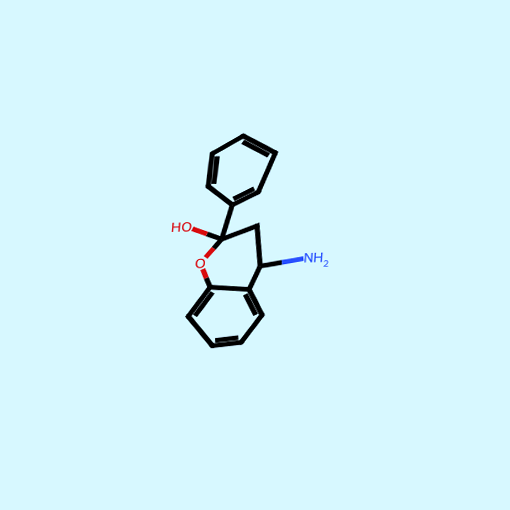 NC1CC(O)(c2ccccc2)Oc2ccccc21